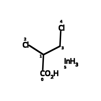 O=C(O)C(Cl)CCl.[InH3]